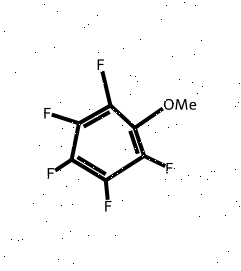 [CH2]Oc1c(F)c(F)c(F)c(F)c1F